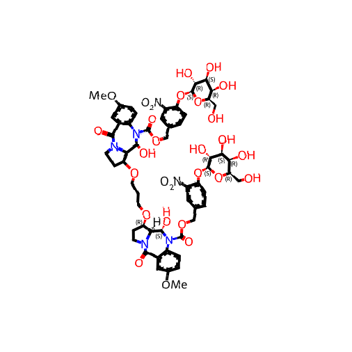 COc1ccc2c(c1)C(=O)N1CCC(OCCCO[C@@H]3CCN4C(=O)c5cc(OC)ccc5N(C(=O)OCc5ccc(O[C@@H]6O[C@H](CO)[C@H](O)[C@H](O)[C@H]6O)c([N+](=O)[O-])c5)[C@@H](O)[C@H]34)C1C(O)N2C(=O)OCc1ccc(O[C@@H]2O[C@H](CO)[C@H](O)[C@H](O)[C@H]2O)c([N+](=O)[O-])c1